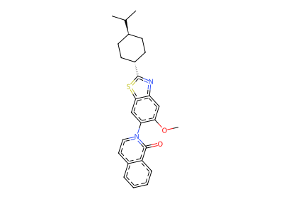 COc1cc2nc([C@H]3CC[C@H](C(C)C)CC3)sc2cc1-n1ccc2ccccc2c1=O